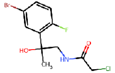 CC(O)(CNC(=O)CCl)c1cc(Br)ccc1F